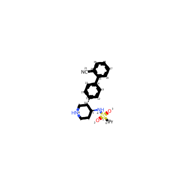 CC(C)S(=O)(=O)N[C@H]1CCNC[C@@H]1c1ccc(-c2ccccc2C#N)cc1